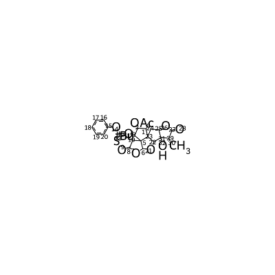 CC(=O)OC1C[C@@H](C(C)(C)C)C23C(OC(=O)[C@@H]2OC(=S)Oc2ccccc2)OC2C13CC1OC(=O)[C@@H](C)[C@@]12O